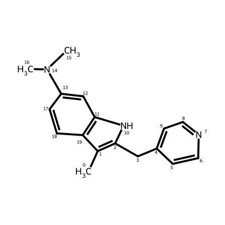 Cc1c(Cc2ccncc2)[nH]c2cc(N(C)C)ccc12